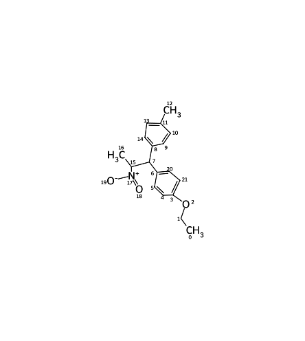 CCOc1ccc(C(c2ccc(C)cc2)C(C)[N+](=O)[O-])cc1